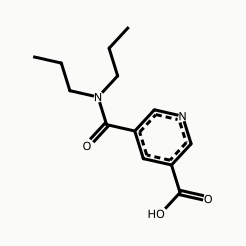 CCCN(CCC)C(=O)c1cncc(C(=O)O)c1